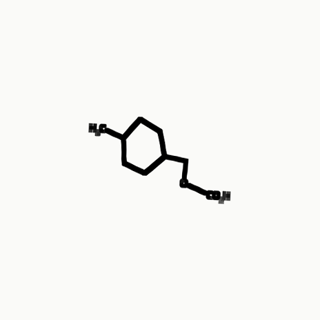 CC1CCC(COC(=O)O)CC1